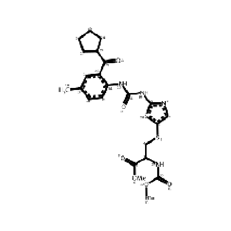 COC(=O)C(CSc1cnc(NC(=O)Nc2ccc(C)cc2C(=O)C2CCCC2)s1)NC(=O)OC(C)(C)C